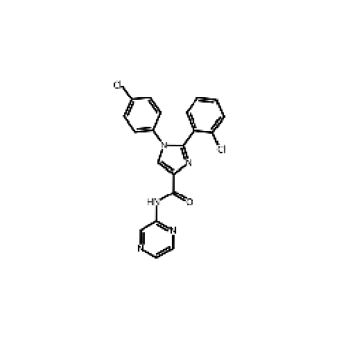 O=C(Nc1cnccn1)c1cn(-c2ccc(Cl)cc2)c(-c2ccccc2Cl)n1